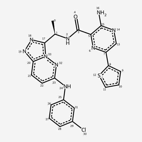 C[C@@H](NC(=O)c1nc(-c2cccs2)cnc1N)c1nnc2ccc(Nc3cccc(Cl)c3)nn12